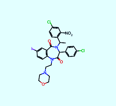 CC(c1ccc(Cl)cc1[N+](=O)[O-])N1C(=O)c2cc(I)ccc2N(CCN2CCOCC2)C(=O)C1c1ccc(Cl)cc1